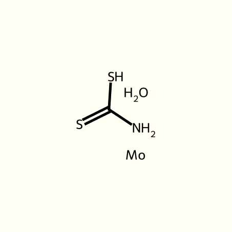 NC(=S)S.O.[Mo]